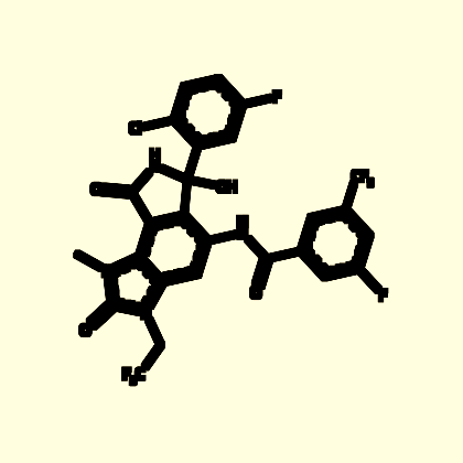 Cn1c(=O)n(CC(F)(F)F)c2cc(NC(=O)c3cc(F)cc(C(F)(F)F)c3)c3c(c21)C(=O)NC3(O)c1cc(F)ccc1Cl